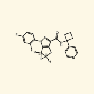 O=C(NC1(c2ccncc2)CCC1)c1nn(-c2ccc(F)cc2F)c2c1C[C@@H]1C[C@H]21